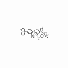 COC(=O)c1ccc(N2CCC(NC(=O)OC(C)(C)C)CC2)c(N)c1